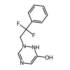 OC1=CN=CN(CC(F)(F)c2ccccc2)N1